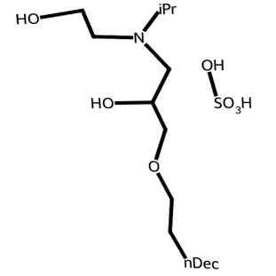 CCCCCCCCCCCCOCC(O)CN(CCO)C(C)C.O=S(=O)(O)O